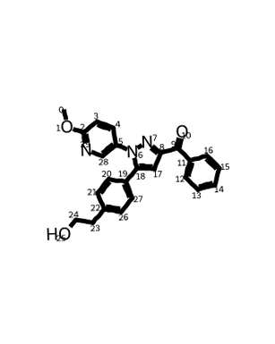 COc1ccc(-n2nc(C(=O)c3ccccc3)cc2-c2ccc(CCO)cc2)cn1